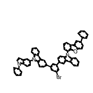 Brc1cc(-c2ccc3c(c2)c2ccccc2n3-c2ccc3c(ccn3-c3ccccc3)c2)cc(-c2ccc3c(c2)c2ccccc2n3-c2cccc3c2oc2ccc(-c4ccccc4)cc23)c1